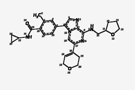 Cc1cc(-c2cnc3c(NCC4CCCO4)nc(C4=CCOCC4)cn23)ccc1C(=O)NC1CC1